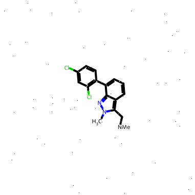 CNCc1c2cccc(-c3ccc(Cl)cc3Cl)c2nn1C